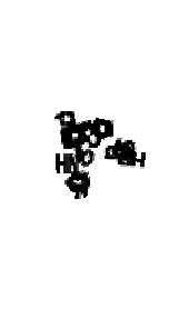 COc1ccc(C(=O)Nc2ccncc2)c2c1CC1(CCCC1)O2.CS(=O)(=O)O